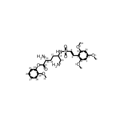 COc1cc(OC)c(C=CS(=O)(=O)NC(CN)CC[C@@H](N)C(=O)Oc2ccccc2OC)c(OC)c1